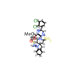 COC(=O)c1nc(-c2cccc(Cl)c2Cl)cnc1N1CCC2(CC1)Cc1ccccc1N2N(C)SOC(C)(C)C.S